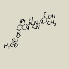 CC(C)c1ccc(N2CC(CS(C)(=O)=O)C2)c2cnc(Nc3ccnc(N4C[C@@H](C)[C@H](O)[C@H](F)C4)n3)cc12